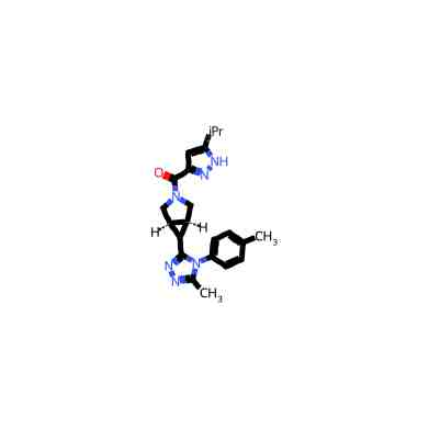 Cc1ccc(-n2c(C)nnc2C2[C@H]3CN(C(=O)c4cc(C(C)C)[nH]n4)C[C@@H]23)cc1